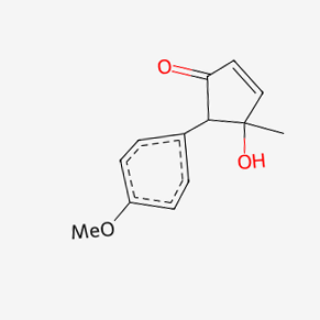 COc1ccc(C2C(=O)C=CC2(C)O)cc1